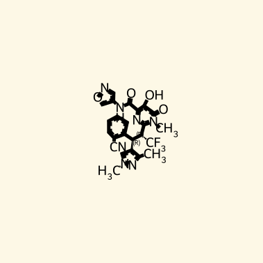 Cc1nn(C)cc1[C@@H](c1ccccc1C#N)[C@H](c1nc(C(=O)Nc2cnoc2)c(O)c(=O)n1C)C(F)(F)F